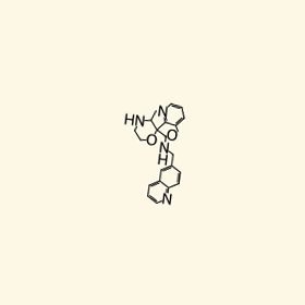 Cc1cccnc1C1(C(=O)NCc2ccc3ncccc3c2)OCCNC1C